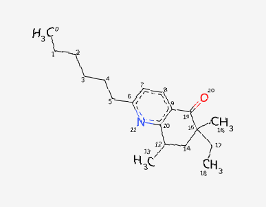 CCCCCCc1ccc2c(n1)C(C)CC(C)(CC)C2=O